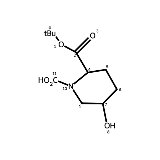 CC(C)(C)OC(=O)C1CCC(O)CN1C(=O)O